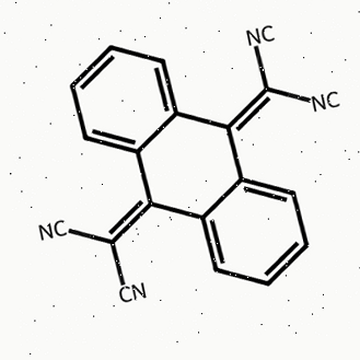 [C-]#[N+]C([N+]#[C-])=c1c2ccccc2c(=C(C#N)C#N)c2ccccc12